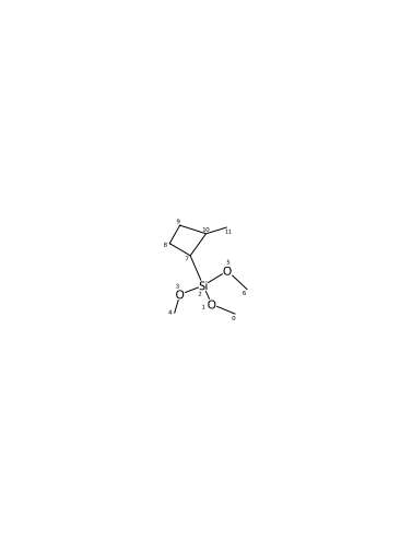 CO[Si](OC)(OC)C1CCC1C